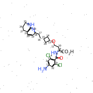 Nc1cc(Cl)c(C(=O)N[C@@H](CCO[C@H]2C[C@@H](CCc3ccc4c(n3)NCCC4)C2)C(=O)O)c(Cl)c1